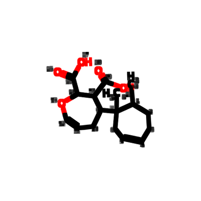 CC1CCC=CCC1(C)C1CC=COC(C(=O)O)C1C(=O)O